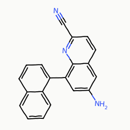 N#Cc1ccc2cc(N)cc(-c3cccc4ccccc34)c2n1